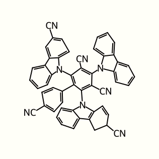 N#Cc1ccc(-c2c(-n3c4c(c5ccccc53)CC(C#N)C=C4)c(C#N)c(-n3c4ccccc4c4ccccc43)c(C#N)c2-n2c3ccccc3c3cc(C#N)ccc32)cc1